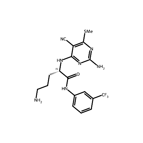 CSc1nc(N)nc(N[C@@H](CCCN)C(=O)Nc2cccc(C(F)(F)F)c2)c1C#N